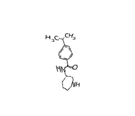 CC(C)c1ccc(C(=O)NC2CCCNC2)cc1